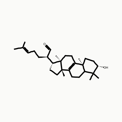 CC(C)=CCC[C@@H](C=O)[C@H]1CC[C@@]2(C)C3=C(CC[C@]12C)[C@@]1(C)CC[C@H](O)C(C)(C)C1CC3